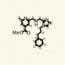 COC(=O)c1cc(C)nc(CNCc2nncn2CCCc2ccccc2)c1